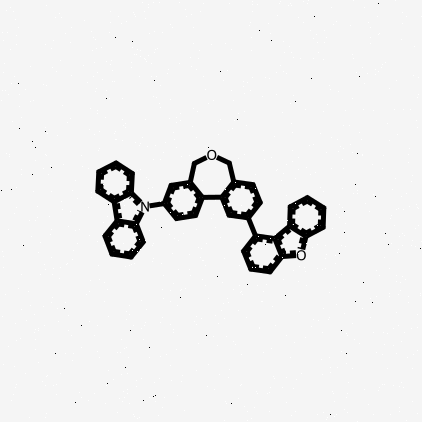 c1ccc2c(c1)oc1cccc(-c3ccc4c(c3)-c3ccc(-n5c6ccccc6c6ccccc65)cc3COC4)c12